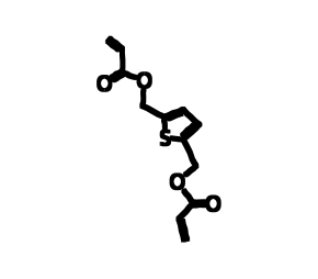 C=CC(=O)OCc1ccc(COC(=O)C=C)s1